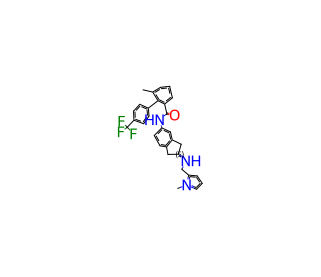 Cc1cccc(C(=O)Nc2ccc3c(c2)C[C@@H](NCc2cccn2C)C3)c1-c1ccc(C(F)(F)F)cc1